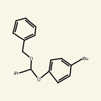 CCC(C)c1ccc(OC(OCc2ccccc2)C(C)C)cc1